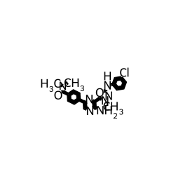 CN(C)C(=O)c1ccc(-c2cnc(N)c(C3OC(Nc4cccc(Cl)c4)=NN3C)n2)cc1